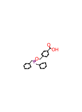 O=C(O)c1ccc(COP(Cc2ccccc2)Cc2ccccc2)cc1